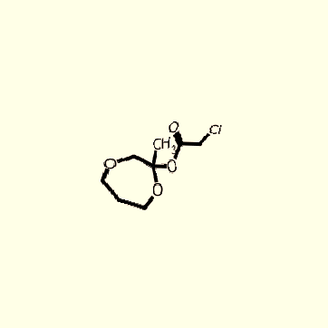 CC1(OC(=O)CCl)COCCCO1